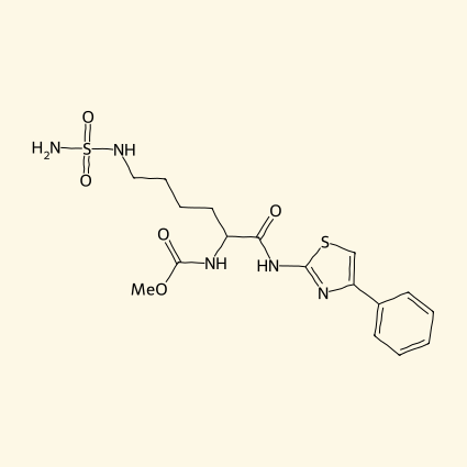 COC(=O)NC(CCCCNS(N)(=O)=O)C(=O)Nc1nc(-c2ccccc2)cs1